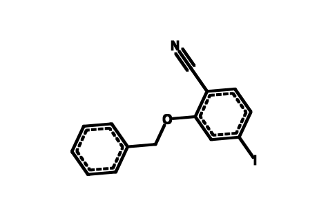 N#Cc1ccc(I)cc1OCc1ccccc1